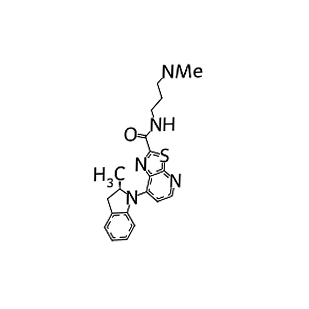 CNCCCNC(=O)c1nc2c(N3c4ccccc4C[C@H]3C)ccnc2s1